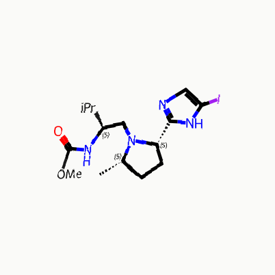 COC(=O)N[C@H](CN1[C@@H](C)CC[C@H]1c1ncc(I)[nH]1)C(C)C